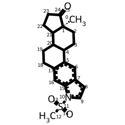 C[C@]12CCC3c4cc5ccn(S(C)(=O)=O)c5cc4CCC3C1CCC2=O